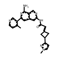 Cc1ccncc1-c1cc2cc(NC(=O)C=C3CC(c4ccn(C)n4)C3)ncc2c(N)n1